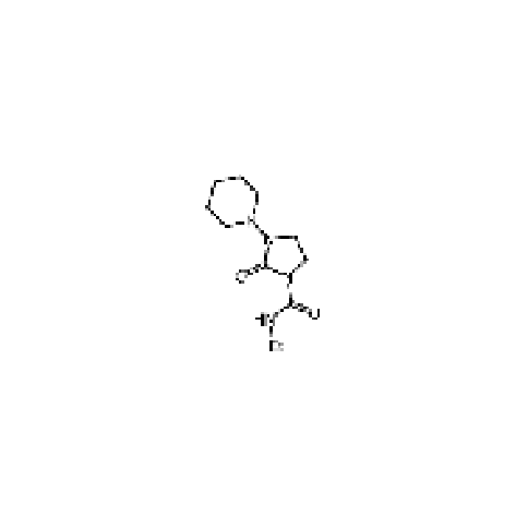 CCNC(=O)N1CCN(N2CCCCC2)C1=O